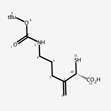 C=C(CCCNC(=O)OC(C)(C)C)[C@H](S)C(=O)O